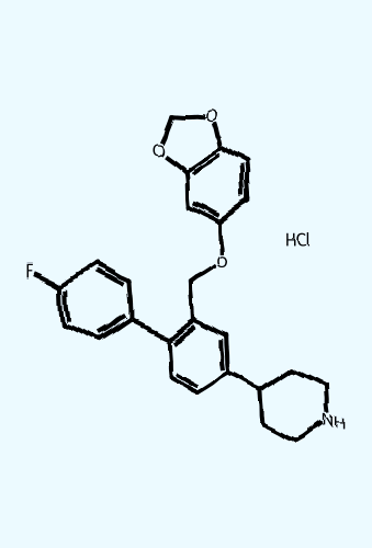 Cl.Fc1ccc(-c2ccc(C3CCNCC3)cc2COc2ccc3c(c2)OCO3)cc1